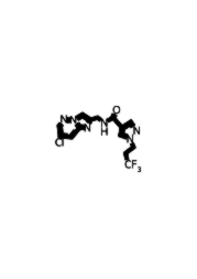 O=C(NCc1cn2ncc(Cl)cc2n1)c1cnn(CCC(F)(F)F)c1